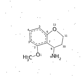 COc1cccc2c1C(N)CCO2